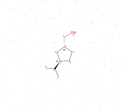 CC(C)[C@@H]1CC[C@@H](CO)C1